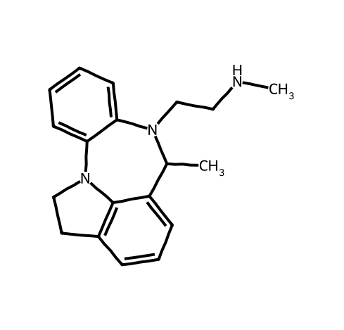 CNCCN1c2ccccc2N2CCc3cccc(c32)C1C